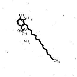 CCCCCCCCCCCCCCCc1c(S(=O)(=O)O)ccc(C)c1C.N